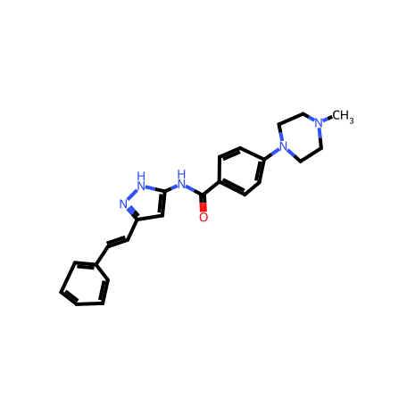 CN1CCN(c2ccc(C(=O)Nc3cc(C=Cc4ccccc4)n[nH]3)cc2)CC1